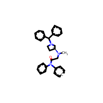 CN(CC(=O)N(c1ccccc1)c1ccccc1)[C@H]1CCN(C(c2ccccc2)c2ccccc2)C1